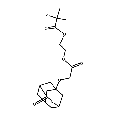 CC(C)C(C)(C)C(=O)OCCOC(=O)COC12CC3CC(C1)OC(=O)C(C3)C2